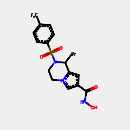 CC(C)C1c2cc(C(=O)NO)cn2CCN1S(=O)(=O)c1ccc(C(F)(F)F)cc1